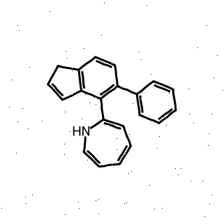 C1=CC=C(c2c(-c3ccccc3)ccc3c2C=CC3)NC=C1